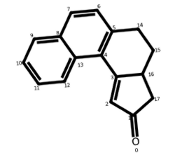 O=C1C=C2c3c(ccc4ccccc34)CCC2C1